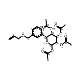 C=CCOCc1cccc([C@@H]2OC(OC(C)=O)[C@@H](OC(C)=O)[C@H](OC(C)=O)[C@H]2OC(C)=O)c1